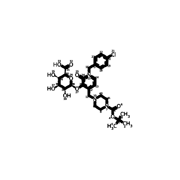 CC(C)(C)OC(=O)N1CCN(Cc2ccn(Cc3ccc(Cl)cc3)c(=O)c2O[C@@H]2O[C@H](C(=O)O)[C@@H](O)[C@H](O)[C@H]2O)CC1